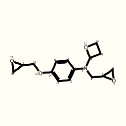 c1cc(N(CC2CO2)C2CCO2)ccc1OCC1CO1